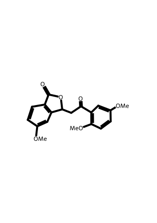 COc1ccc(OC)c(C(=O)CC2OC(=O)c3ccc(OC)cc32)c1